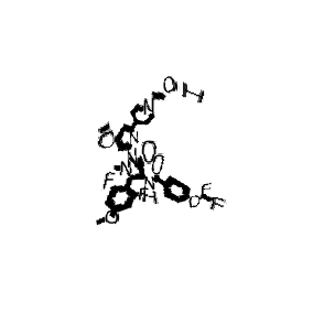 COc1cc(C2CCN(CCO)CC2)nc(-n2c(=O)c(NC(=O)c3ccc(OC(F)F)cc3)c(-c3c(F)cc(OC)cc3F)n2C)c1